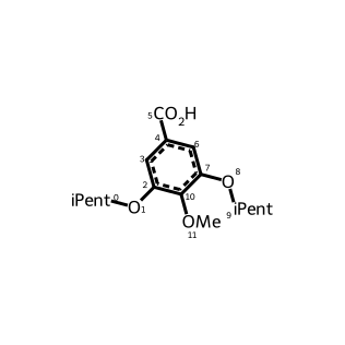 CCCC(C)Oc1cc(C(=O)O)cc(OC(C)CCC)c1OC